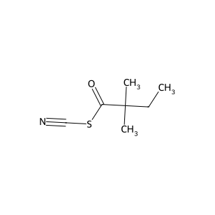 CCC(C)(C)C(=O)SC#N